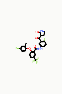 Cc1cc(F)ccc1Oc1ccc(C(F)(F)F)cc1C(=O)Nc1ccc(F)c(C(=O)C2CCNC2=O)c1